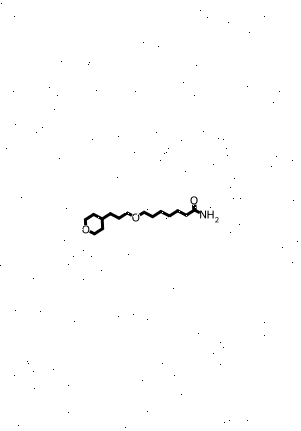 NC(=O)CCCCCCOCCCC1CCOCC1